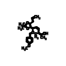 C=CC[C@@H]1OC(C)(C)O[C@@H]1[C@@H](/C=C\[C@@H](C)[C@H](C)O)OCc1ccc(OC)cc1